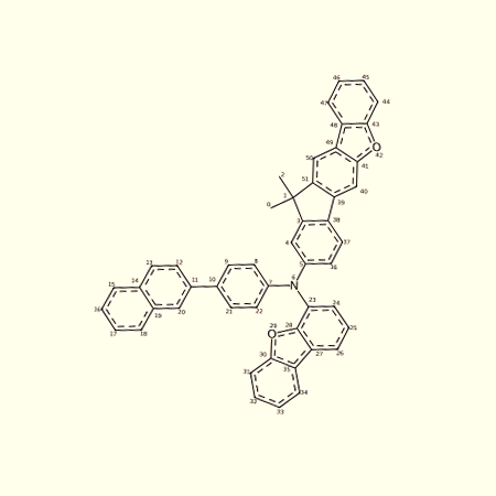 CC1(C)c2cc(N(c3ccc(-c4ccc5ccccc5c4)cc3)c3cccc4c3oc3ccccc34)ccc2-c2cc3oc4ccccc4c3cc21